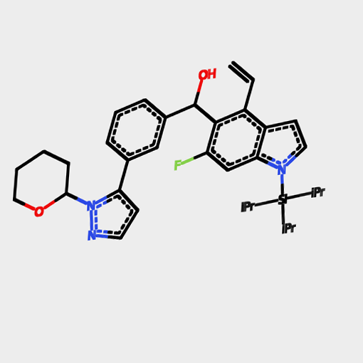 C=Cc1c(C(O)c2cccc(-c3ccnn3C3CCCCO3)c2)c(F)cc2c1ccn2[Si](C(C)C)(C(C)C)C(C)C